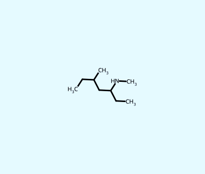 CCC(C)CC(CC)NC